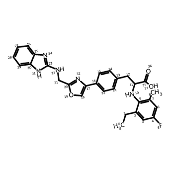 CCc1cc(F)cc(C)c1NC(Cc1ccc(-c2coc(CNc3nc4ccccc4[nH]3)n2)cc1)C(=O)O